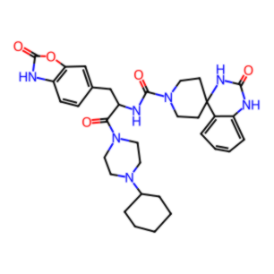 O=C1Nc2ccccc2C2(CCN(C(=O)NC(Cc3ccc4[nH]c(=O)oc4c3)C(=O)N3CCN(C4CCCCC4)CC3)CC2)N1